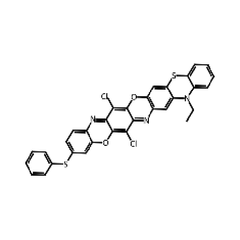 CCn1c2ccccc2sc2cc3oc4c(Cl)c5nc6ccc(Sc7ccccc7)cc6oc5c(Cl)c4nc3cc21